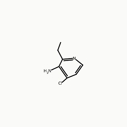 CCc1nccc(Cl)c1N